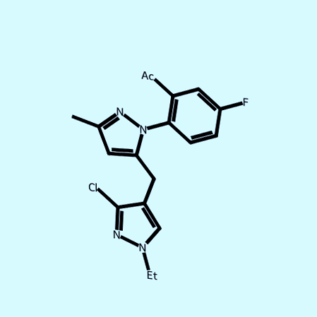 CCn1cc(Cc2cc(C)nn2-c2ccc(F)cc2C(C)=O)c(Cl)n1